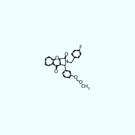 COCOc1cccc(C2c3c(oc4ccccc4c3=O)C(=O)N2Cc2ccc(F)cc2)c1